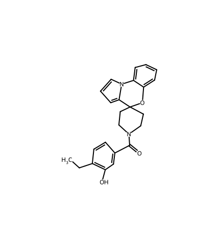 CCc1ccc(C(=O)N2CCC3(CC2)Oc2ccccc2-n2cccc23)cc1O